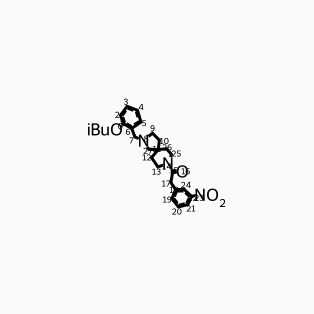 CC(C)COc1ccccc1CN1CCC2(CCN(C(=O)Cc3cccc([N+](=O)[O-])c3)CC2)C1